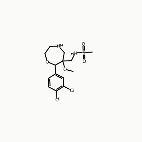 COC1(CNS(C)(=O)=O)CNCCOC1c1ccc(Cl)c(Cl)c1